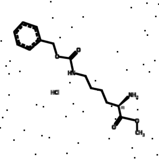 COC(=O)[C@H](N)CCCCNC(=O)OCc1ccccc1.Cl